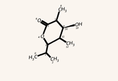 CC(C)C1OC(=O)C(C)[C@@H](O)C1C